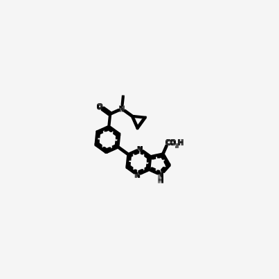 CN(C(=O)c1cccc(-c2cnc3[nH]cc(C(=O)O)c3n2)c1)C1CC1